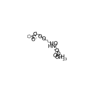 CC1(C)OCc2cc(C(CO)NCCCCCCOCCOCc3cccc([S+]([O-])C4CCCC4)c3)ccc2O1